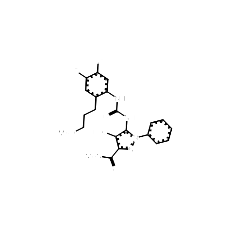 CNC(=O)c1nn(-c2ccccc2)c(NC(=O)Nc2cc(C(F)(F)F)c(F)cc2CCCOC)c1C